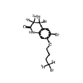 [2H]C([2H])(Br)CCCOc1cc2c(cc1Br)C([2H])([2H])C([2H])([2H])C(=O)N2